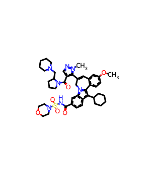 COc1ccc2c(c1)C=C(c1c(C(=O)N3CCCC3CN3CCCCC3)cnn1C)Cn1c-2c(C2CCCCC2)c2ccc(C(=O)NS(=O)(=O)N3CCOCC3)cc21